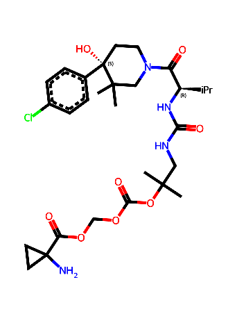 CC(C)[C@@H](NC(=O)NCC(C)(C)OC(=O)OCOC(=O)C1(N)CC1)C(=O)N1CC[C@](O)(c2ccc(Cl)cc2)C(C)(C)C1